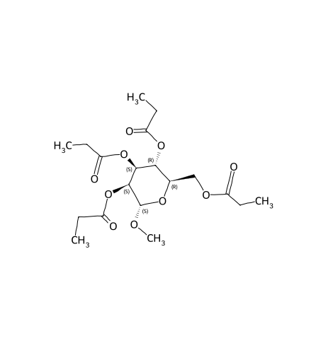 CCC(=O)OC[C@H]1O[C@H](OC)[C@@H](OC(=O)CC)[C@@H](OC(=O)CC)[C@@H]1OC(=O)CC